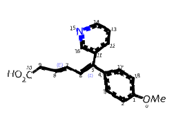 COc1ccc(/C(=C/C=C/CC(=O)O)c2cccnc2)cc1